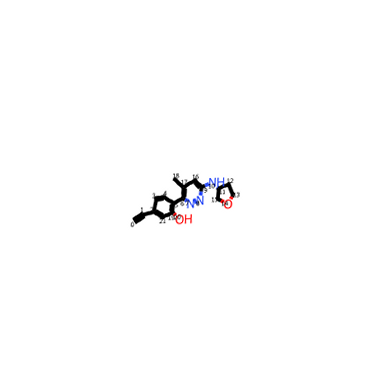 C#Cc1ccc(-c2nnc(NC3CCOC3)cc2C)c(O)c1